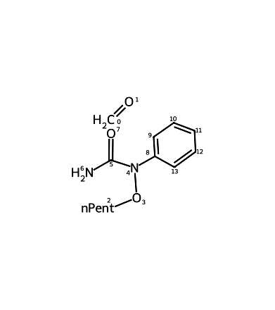 C=O.CCCCCON(C(N)=O)c1ccccc1